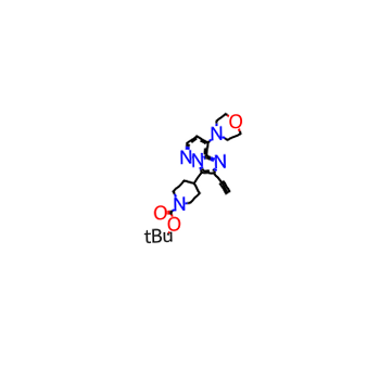 C#Cc1nc2c(N3CCOCC3)ccnn2c1C1CCN(C(=O)OC(C)(C)C)CC1